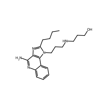 CCCCc1nc2c(N)nc3ccccc3c2n1CCCNCCCO